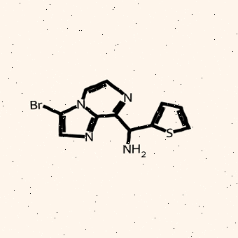 NC(c1cccs1)c1nccn2c(Br)cnc12